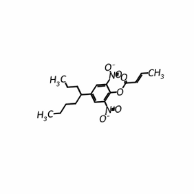 CC=CC(=O)Oc1c([N+](=O)[O-])cc(C(CCC)CCCC)cc1[N+](=O)[O-]